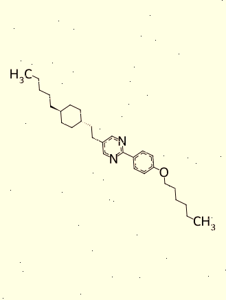 CCCCCCOc1ccc(-c2ncc(CC[C@H]3CC[C@H](CCCCC)CC3)cn2)cc1